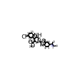 C/C=C(\C)c1ccc2nc(N3Cc4[nH]c5ccc(Cl)cc5c4C(C(=O)OC)C3)oc2c1